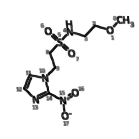 COCCNS(=O)(=O)CCn1ccnc1[N+](=O)[O-]